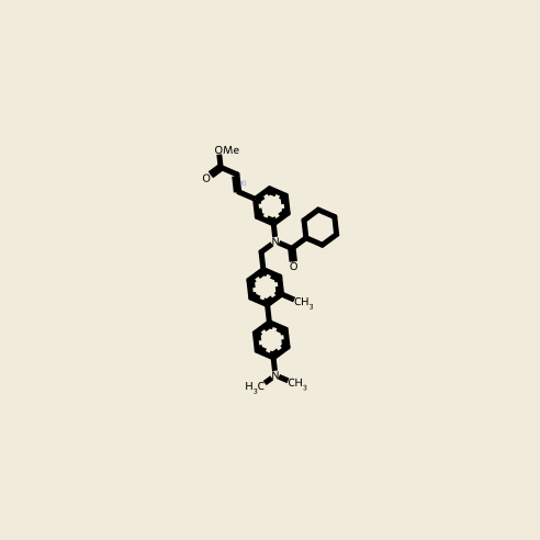 COC(=O)/C=C/c1cccc(N(Cc2ccc(-c3ccc(N(C)C)cc3)c(C)c2)C(=O)C2CCCCC2)c1